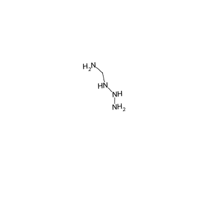 NCNNN